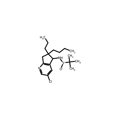 CCCCC1(CCC)Cc2ncc(Cl)cc2C1N[S+]([O-])C(C)(C)C